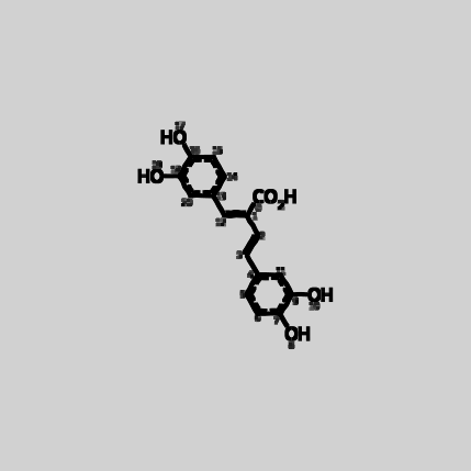 O=C(O)C(C=Cc1ccc(O)c(O)c1)=Cc1ccc(O)c(O)c1